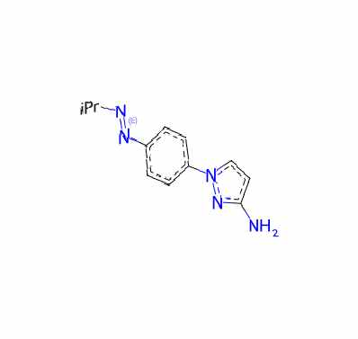 CC(C)/N=N/c1ccc(-n2ccc(N)n2)cc1